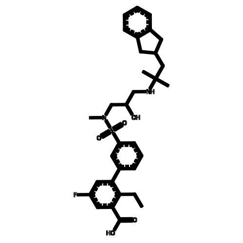 CCc1c(C(=O)O)cc(F)cc1-c1cccc(S(=O)(=O)N(C)CC(O)CNC(C)(C)CC2Cc3ccccc3C2)c1